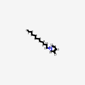 CCCCCCCCCCCCN1C=CC=C(C)C1